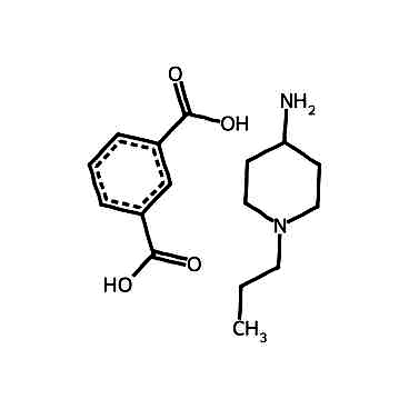 CCCN1CCC(N)CC1.O=C(O)c1cccc(C(=O)O)c1